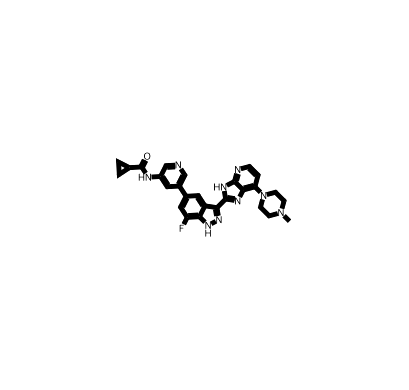 CN1CCN(c2ccnc3[nH]c(-c4n[nH]c5c(F)cc(-c6cncc(NC(=O)C7CC7)c6)cc45)nc23)CC1